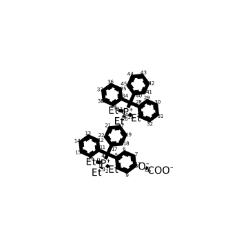 CC[P+](CC)(CC)C(c1ccccc1)(c1ccccc1)c1ccccc1.CC[P+](CC)(CC)C(c1ccccc1)(c1ccccc1)c1ccccc1.O=C([O-])[O-]